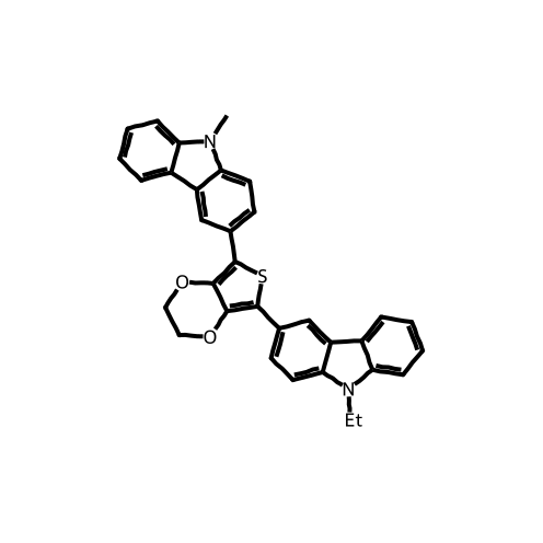 CCn1c2ccccc2c2cc(-c3sc(-c4ccc5c(c4)c4ccccc4n5C)c4c3OCCO4)ccc21